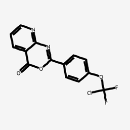 O=c1oc(-c2ccc(OC(F)(F)Cl)cc2)nc2ncccc12